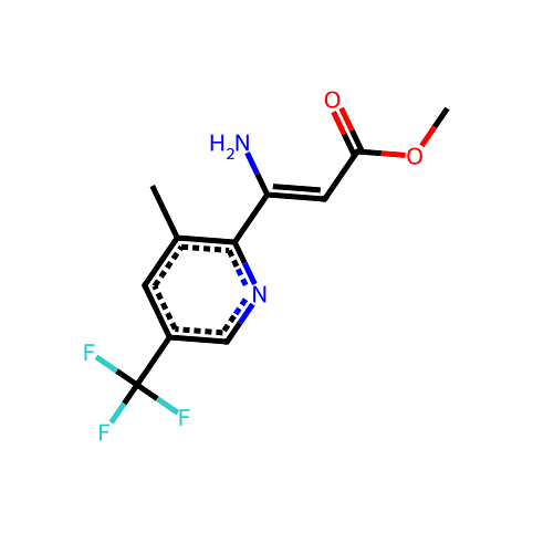 COC(=O)/C=C(\N)c1ncc(C(F)(F)F)cc1C